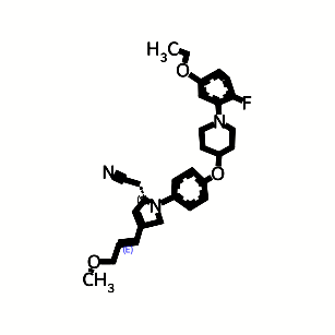 CCOc1ccc(F)c(N2CCC(Oc3ccc(N4CC(/C=C/COC)=C[C@@H]4CC#N)cc3)CC2)c1